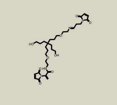 C=C(C(=O)NCCOCCCC(CCCO)(CCCO)CCCOCC/N=C/CCN1C(=O)C=CC1=O)N1C(=O)C=CC1=O